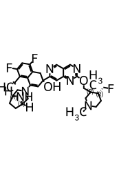 C#Cc1c(F)cc(F)c2c1C(N1C[C@H]3CC[C@@H](C1)N3)=CC(O)(c1cc3nc(OC[C@]4(C)CN(C)CC[C@H]4CF)ncc3cn1)C2